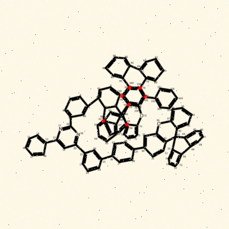 C1=CC2C(C(c3cccc(-c4nc(-c5ccccc5)cc(-c5cccc(-c6ccc(-c7ccc8c(c7)Oc7ccccc7C87c8ccccc8-c8ccccc87)cc6)c5)n4)c3)=C1)c1ccccc1C21c2ccccc2Oc2cc(-c3ccccc3-c3ccccc3-c3cc(-c4ccccc4)nc(-c4ccccc4)n3)ccc21